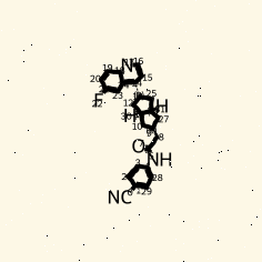 N#Cc1ccc(NC(=O)C[C@H]2C[C@@H]3C[C@H](c4ccnc5ccc(F)cc45)C[C@@H]3C2)cc1